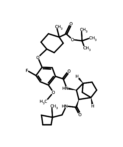 COc1cc(F)c(OC2CCC(C)(C(=O)OC(C)(C)C)CC2)cc1C(=O)N[C@H]1[C@@H]2CC[C@@H](C2)[C@H]1C(=O)NCC1(C)CCC1